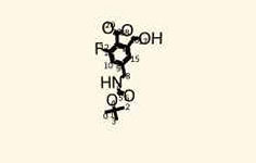 CC(C)(C)OC(=O)NCc1cc(F)c2c(c1)C(O)OC2=O